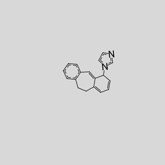 C1=CC(n2ccnc2)C2=Cc3ccccc3CCC2=C1